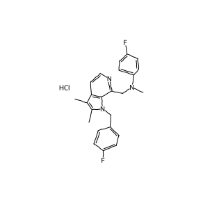 Cc1c(C)n(Cc2ccc(F)cc2)c2c(CN(C)c3ccc(F)cc3)nccc12.Cl